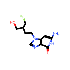 Nc1cc2c(ncn2CCC(CO)C[18F])c(=O)[nH]1